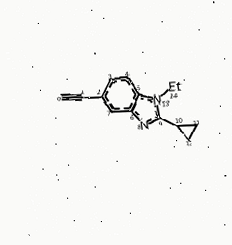 C#Cc1ccc2c(c1)nc(C1CC1)n2CC